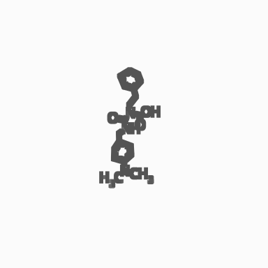 CN(C)c1ccc(CNC(=O)N(CCc2ccccc2)C(=O)O)cc1